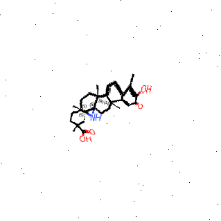 CC1=C(O)C(=O)C=C2C1=CC=C1[C@@]2(C)CC[C@@]23N[C@]24C[C@](C)(C(=O)O)CC[C@]4(C)CC[C@]13C